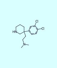 CN(C)CCC1(c2ccc(Cl)c(Cl)c2)CCCNC1